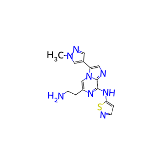 Cn1cc(-c2cnc3c(Nc4ccns4)nc(CCN)cn23)cn1